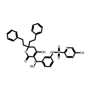 CC(C)(C)[C@@H](C1=C(O)CC(CCc2ccccc2)(CCc2ccccc2)OC1=O)c1cccc(NS(=O)(=O)c2ccc(C#N)cn2)c1